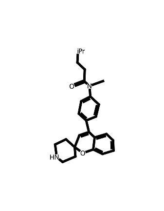 CC(C)CCC(=O)N(C)c1ccc(C2=CC3(CCNCC3)Oc3ccccc32)cc1